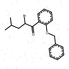 CC(C)CC(Br)C(=O)c1ccccc1OCc1ccccc1